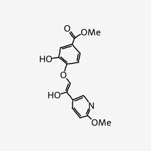 COC(=O)c1ccc(O/C=C(\O)c2ccc(OC)nc2)c(O)c1